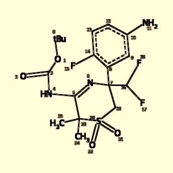 CC(C)(C)OC(=O)NC1=NC(c2cc(N)ccc2F)(C(F)F)CS(=O)(=O)C1(C)C